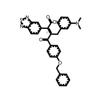 CN(C)c1cccc(C/C(C(=O)c2ccc(OCc3ccccc3)cc2)=C(\C(=O)O)c2ccc3nsnc3c2)c1